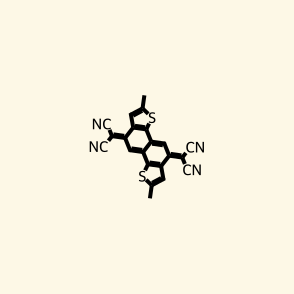 Cc1cc2c(=C(C#N)C#N)cc3c(cc(=C(C#N)C#N)c4cc(C)sc43)c2s1